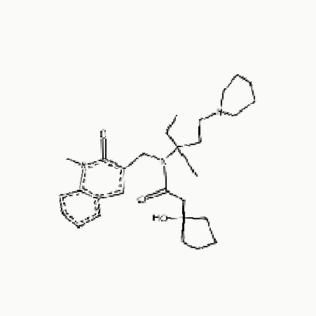 CCC(C)(CCN1CCCCC1)N(Cc1cc2ccccc2n(C)c1=O)C(=O)CC1(O)CCCC1